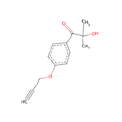 C#CCOc1ccc(C(=O)C(C)(C)O)cc1